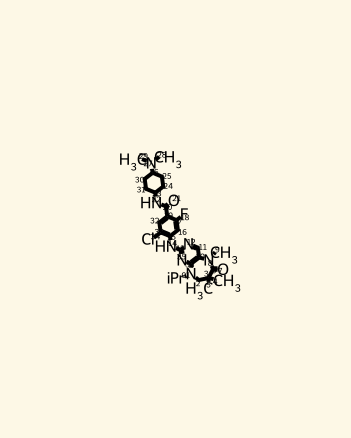 CC(C)N1CC(C)(C)C(=O)N(C)c2cnc(Nc3cc(F)c(C(=O)NC4CCC(N(C)C)CC4)cc3Cl)nc21